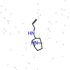 C=CCNC1C[C]2CCC(C1)N2